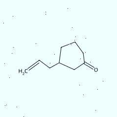 C=CCC1CCCC(=O)C1